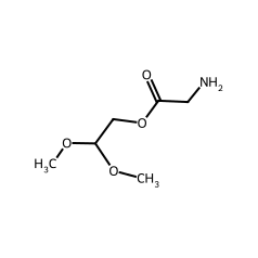 COC(COC(=O)CN)OC